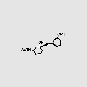 COc1cccc(C#CC2(O)CCCC(NC(C)=O)C2)c1